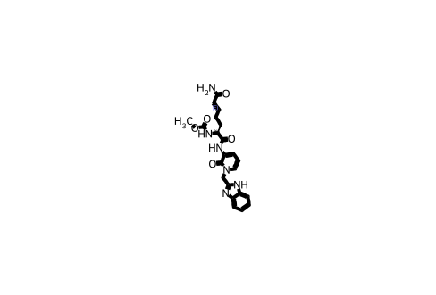 COC(=O)N[C@@H](CC/C=C/C(N)=O)C(=O)Nc1cccn(Cc2nc3ccccc3[nH]2)c1=O